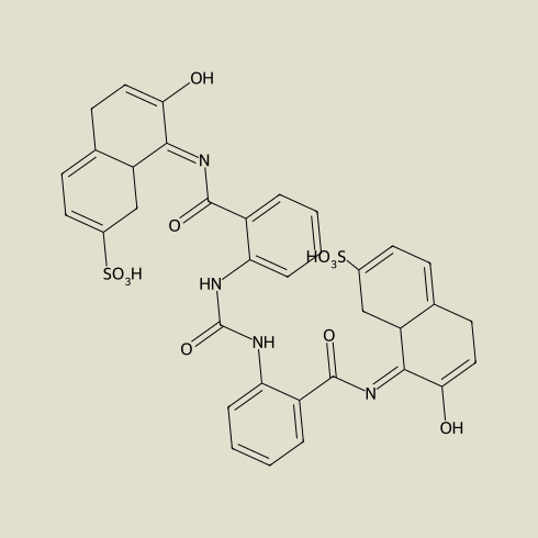 O=C(Nc1ccccc1C(=O)/N=C1/C(O)=CCC2=CC=C(S(=O)(=O)O)CC21)Nc1ccccc1C(=O)/N=C1/C(O)=CCC2=CC=C(S(=O)(=O)O)CC21